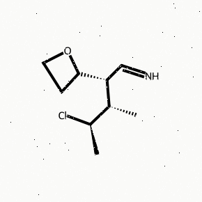 C[C@H]([C@@H](C)Cl)[C@@H](C=N)C1CCO1